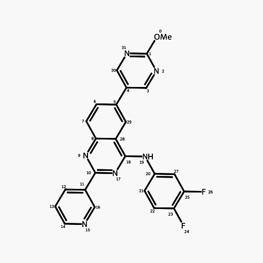 COc1ncc(-c2ccc3nc(-c4cccnc4)nc(Nc4ccc(F)c(F)c4)c3c2)cn1